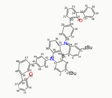 CC(C)(C)c1ccc2c(c1)B1c3ccc(C(C)(C)C)cc3N(c3ccc(-c4cccc5c4oc4ccccc45)cc3)c3cccc(c31)N2c1ccc(-c2cccc3c2oc2ccccc23)cc1